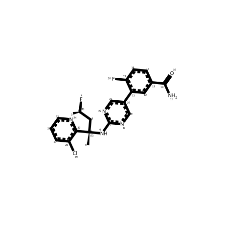 C[C@@H](F)C[C@](C)(Nc1ncc(-c2cc(C(N)=O)ccc2F)cn1)c1ncccc1Cl